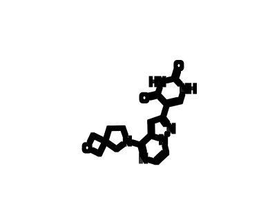 O=c1[nH]cc(-c2cc3c(N4CCC5(COC5)C4)nccn3n2)c(=O)[nH]1